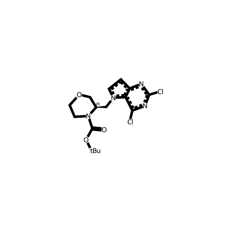 CC(C)(C)OC(=O)N1CCOC[C@H]1Cn1ccc2nc(Cl)nc(Cl)c21